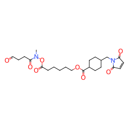 CN(OC(=O)CCCCCOC(=O)C1CCC(CN2C(=O)C=CC2=O)CC1)C(=O)CCC=O